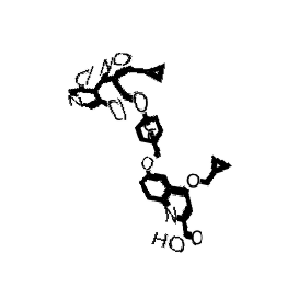 O=C(O)c1cc(OCC2CC2)c2cc(OCC34CCC(OCc5c(-c6c(Cl)cncc6Cl)noc5C5CC5)(CC3)CC4)ccc2n1